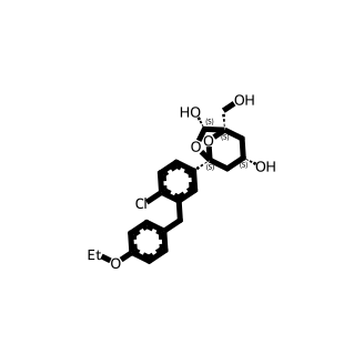 CCOc1ccc(Cc2cc([C@@]34C[C@@H](O)C[C@@](CO)(O3)[C@@H](O)O4)ccc2Cl)cc1